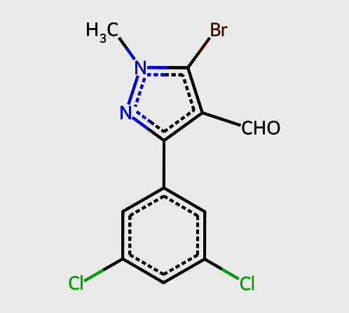 Cn1nc(-c2cc(Cl)cc(Cl)c2)c(C=O)c1Br